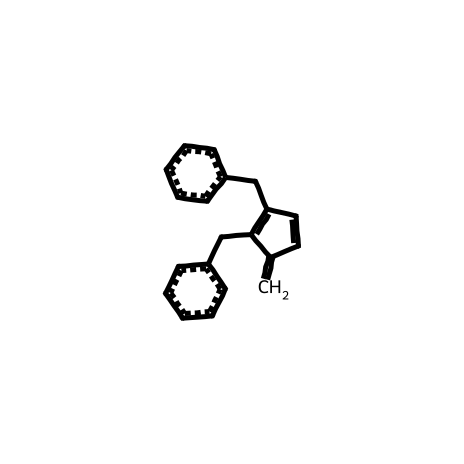 C=C1C=CC(Cc2ccccc2)=C1Cc1ccccc1